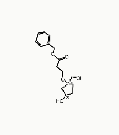 O=C(CCO[N+]1(CO)CC[C@@H](O)C1)OCc1ccccc1